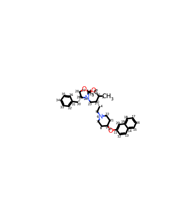 CC(C)[C@H](CCN1CCC(Oc2ccc3ccccc3c2)CC1)CN1C(=O)OC[C@H]1Cc1ccccc1